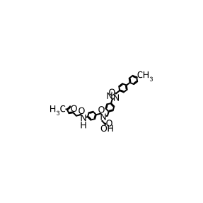 Cc1ccc(-c2ccc(-c3nc(-c4ccc(CN(CC(=O)O)C(=O)c5ccc(NC(=O)Cc6cc(C)co6)cc5)cc4)no3)cc2)cc1